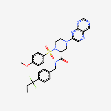 CCC(F)(F)c1ccc(CNC(=O)[C@H]2CN(c3cnc4cncnc4n3)CCN2S(=O)(=O)c2ccc(OC)cc2)cc1